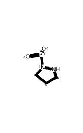 O=P(=O)N1CCCN1